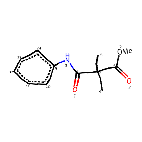 COC(=O)C(C)(C)C(=O)Nc1ccccc1